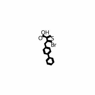 O=C(O)c1csc(Br)c1Cc1ccc(-c2ccccc2)cc1